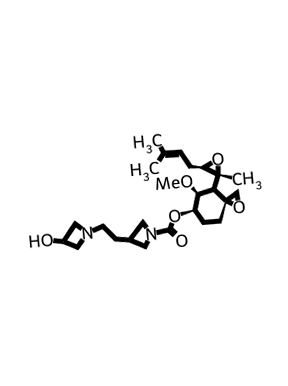 CO[C@H]1C([C@@]2(C)O[C@@H]2CC=C(C)C)[C@]2(CC[C@H]1OC(=O)N1CC(CCN3CC(O)C3)C1)CO2